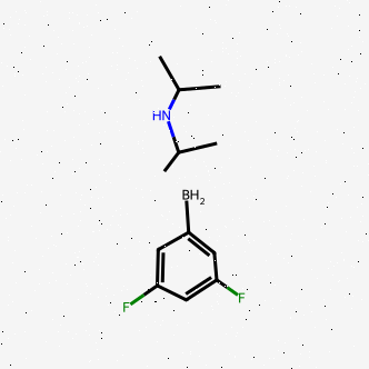 Bc1cc(F)cc(F)c1.CC(C)NC(C)C